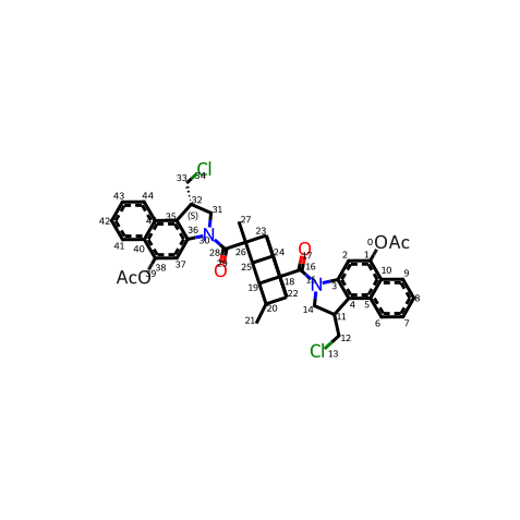 CC(=O)Oc1cc2c(c3ccccc13)C(CCl)CN2C(=O)C12C3C(C)C1C1C2C3C1(C)C(=O)N1C[C@@H](CCl)c2c1cc(OC(C)=O)c1ccccc21